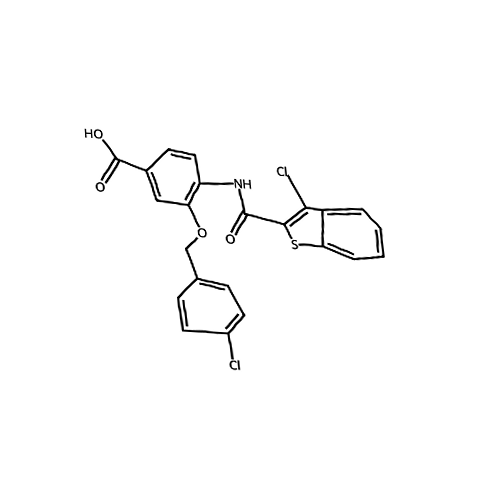 O=C(O)c1ccc(NC(=O)c2sc3ccccc3c2Cl)c(OCc2ccc(Cl)cc2)c1